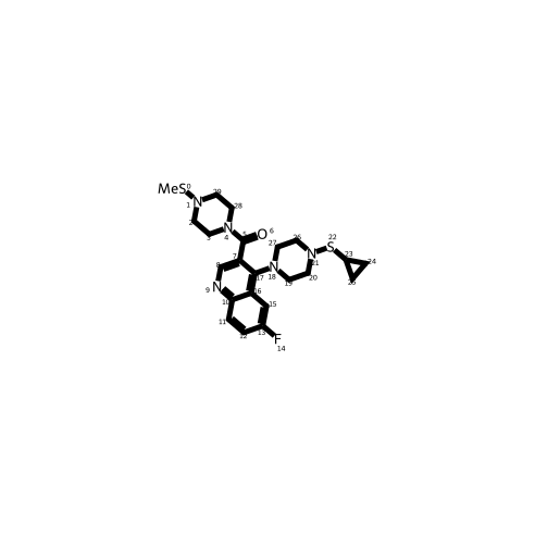 CSN1CCN(C(=O)c2cnc3ccc(F)cc3c2N2CCN(SC3CC3)CC2)CC1